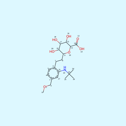 COCc1ccc(CCC2OC(C(=O)O)C(O)C(O)C2O)c(NC(C)(C)C)c1